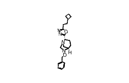 c1ccc(CON2CN3C[C@H]2CC[C@H]3c2nnc(CCC3CCC3)o2)cc1